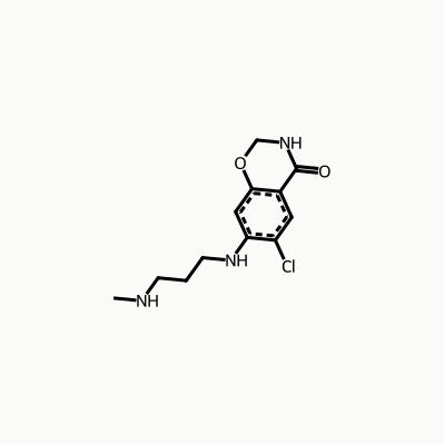 CNCCCNc1cc2c(cc1Cl)C(=O)NCO2